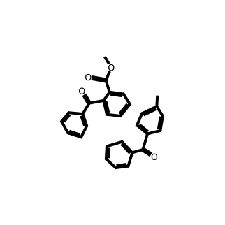 COC(=O)c1ccccc1C(=O)c1ccccc1.Cc1ccc(C(=O)c2ccccc2)cc1